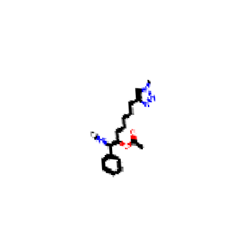 [C-]#[N+]C(c1ccccc1)C(CCCCCc1cn(C)nn1)OC(C)=O